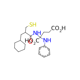 O=C(O)CCC(NC(=O)C(CS)CC1CCCCC1)(Nc1ccccc1)C(=O)O